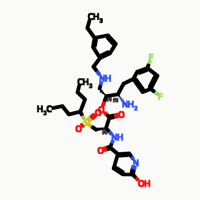 CCCC(CCC)S(=O)(=O)C[C@H](NC(=O)c1ccc(O)nc1)C(=O)O[C@H](CNCc1cccc(CC)c1)[C@@H](N)Cc1cc(F)cc(F)c1